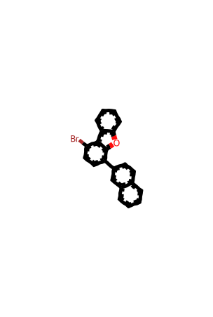 Brc1ccc(-c2ccc3ccccc3c2)c2oc3ccccc3c12